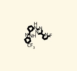 Fc1cccc(-c2cnc(Nc3cccc(-c4nc5ccc(C(F)(F)F)cc5[nH]4)c3)nc2)n1